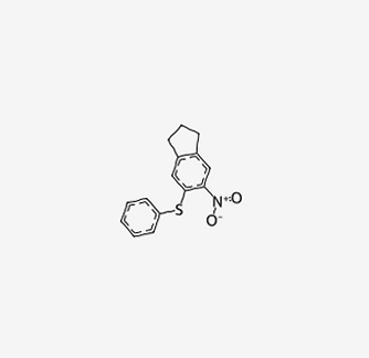 O=[N+]([O-])c1cc2c(cc1Sc1ccccc1)CCC2